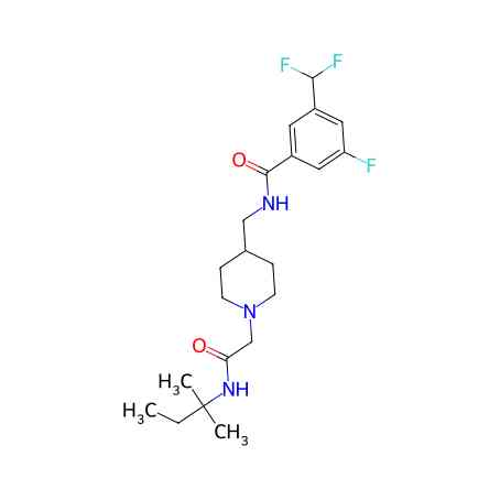 CCC(C)(C)NC(=O)CN1CCC(CNC(=O)c2cc(F)cc(C(F)F)c2)CC1